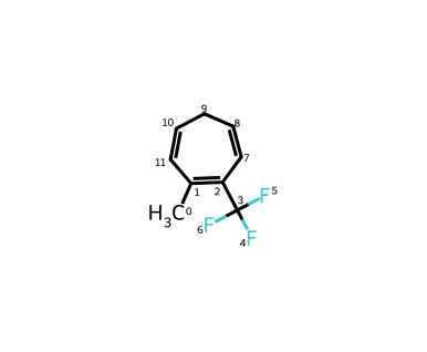 CC1=C(C(F)(F)F)C=CCC=C1